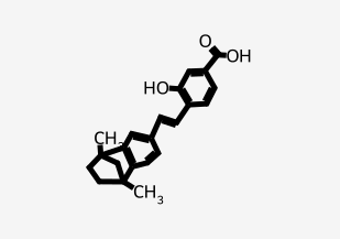 CC12CCC(C)(C1)c1cc(/C=C/c3ccc(C(=O)O)cc3O)ccc12